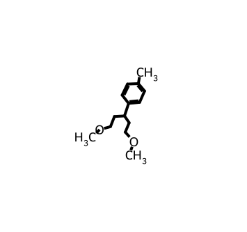 COCCC(CCOC)c1ccc(C)cc1